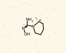 C[C@@H]1CCCCN1/C(N)=N\O